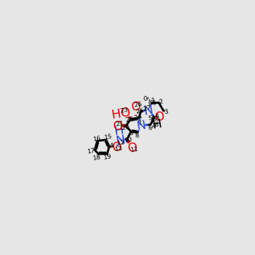 C[C@@H]1CCO[C@H]2Cn3cc(C(=O)NOc4ccccc4)c(=O)c(O)c3C(=O)N12